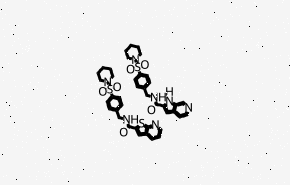 O=C(NCc1ccc(S(=O)(=O)N2CCCCC2)cc1)c1cc2cccnc2s1.O=C(NCc1ccc(S(=O)(=O)N2CCCCC2)cc1)c1cc2ccncc2[nH]1